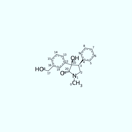 CN1C[C@H](c2ccccc2)[C@@](O)(c2cccc(CO)c2)C1=O